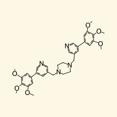 COc1cc(-c2cncc(CN3CCN(Cc4cncc(-c5cc(OC)c(OC)c(OC)c5)c4)CC3)c2)cc(OC)c1OC